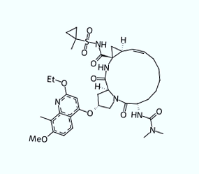 CCOc1cc(O[C@@H]2C[C@H]3C(=O)N[C@]4(C(=O)NS(=O)(=O)C5(C)CC5)C[C@H]4C=CCCCCC[C@H](NC(=O)N(C)C)C(=O)N3C2)c2ccc(OC)c(C)c2n1